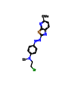 CCN(CCBr)c1ccc(/N=N/c2nc3ccc(OC)nc3s2)cc1